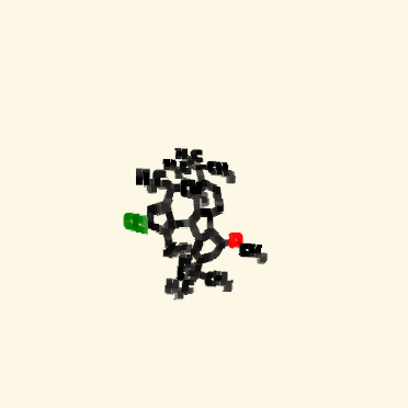 COc1cc(C(C)(C)C)cc2c1-c1ccc(C(C)(C)C)cc1C2C1=[C]([Zr+2])CC=C1C(C)C.[Cl-].[Cl-]